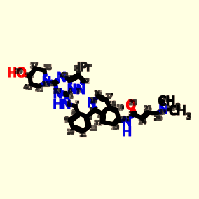 CC(C)c1cnn2c(NCc3ccccc3-c3nccc4cc(NC(=O)/C=C/CN(C)C)ccc34)nc(N3CCC(O)CC3)nc12